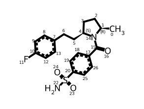 C[C@@H]1CC[C@H](CCc2ccc(F)cc2)N1C(=O)c1ccc(S(N)(=O)=O)cc1